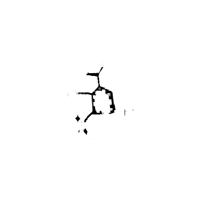 O=C([O-])c1cccc(S(=O)(=O)O)c1O.[K+]